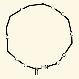 C1CCCCCCCOONNCCCCCC1